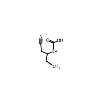 [CH2]CC(CC#N)NC(=O)O